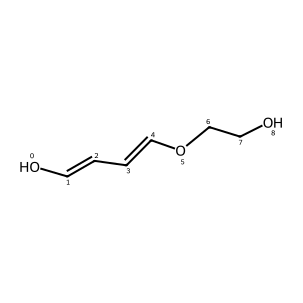 OC=CC=COCCO